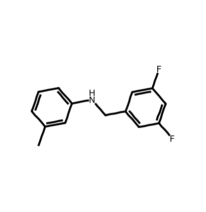 Cc1cccc(NCc2cc(F)cc(F)c2)c1